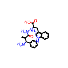 C=C(C(N)=O)C(N)c1ccccc1.NC(Cc1c[nH]c2ccccc12)C(=O)O